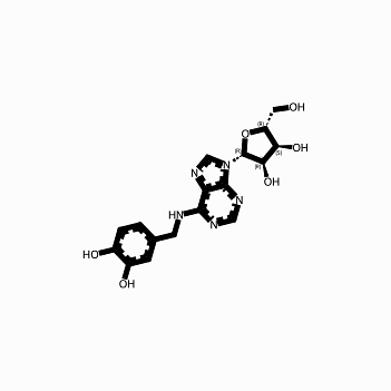 OC[C@H]1O[C@@H](n2cnc3c(NCc4ccc(O)c(O)c4)ncnc32)[C@H](O)[C@@H]1O